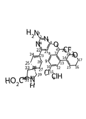 Cl.Nc1nc(OC(c2ccc(Cl)cc2C2=CCCOC2)C(F)(F)F)cc(C2=CC[C@]3(CC2)CN[C@@H](C(=O)O)C3)n1